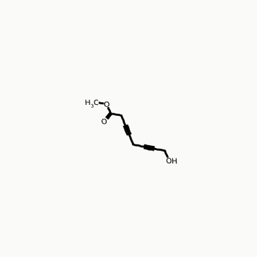 COC(=O)CC#CCC#CCO